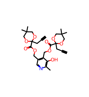 C#CCC1(C(=O)OCc2cnc(C)c(O)c2COC(=O)C2(CC#C)OCC(C)(C)CO2)OCC(C)(C)CO1